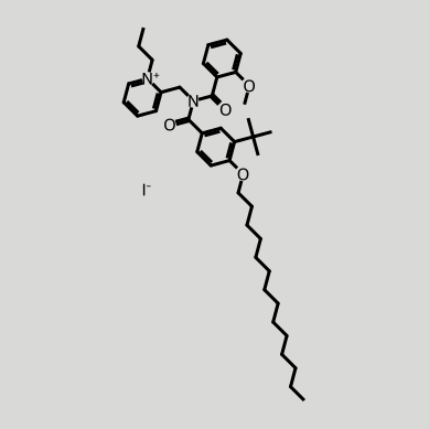 CCCCCCCCCCCCCCOc1ccc(C(=O)N(Cc2cccc[n+]2CCC)C(=O)c2ccccc2OC)cc1C(C)(C)C.[I-]